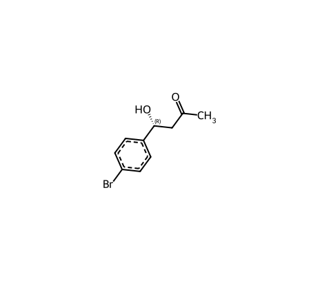 CC(=O)C[C@@H](O)c1ccc(Br)cc1